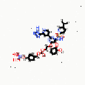 COc1ccccc1Oc1c(NS(=O)(=O)c2ccc(C(C)C)cn2)nc(-c2ccnc(-c3nnn[nH]3)c2)nc1OCCOC(=O)OCc1ccc(CON(O)O)cc1